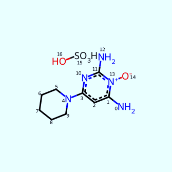 Nc1cc(N2CCCCC2)nc(N)[n+]1[O-].O=S(=O)(O)O